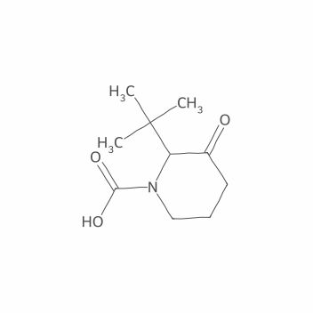 CC(C)(C)C1C(=O)CCCN1C(=O)O